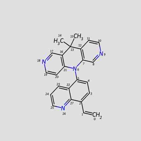 C=Cc1ccc(N2c3cnccc3C(C)(C)c3cnccc32)c2cccnc12